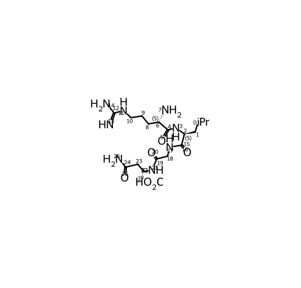 CC(C)C[C@H](NC(=O)[C@@H](N)CCCNC(=N)N)C(=O)NCC(=O)N[C@@H](CC(N)=O)C(=O)O